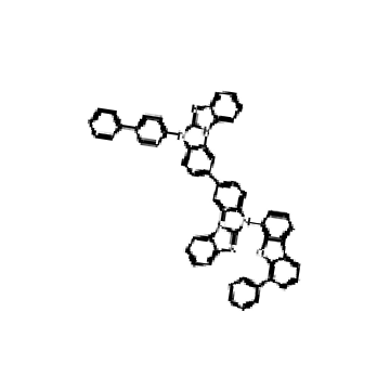 c1ccc(-c2ccc(-n3c4ccc(-c5ccc6c(c5)n5c7ccccc7nc5n6-c5cccc6c5oc5c(-c7ccccc7)cccc56)cc4n4c5ccccc5nc34)cc2)cc1